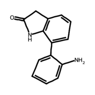 Nc1ccccc1-c1cccc2c1NC(=O)C2